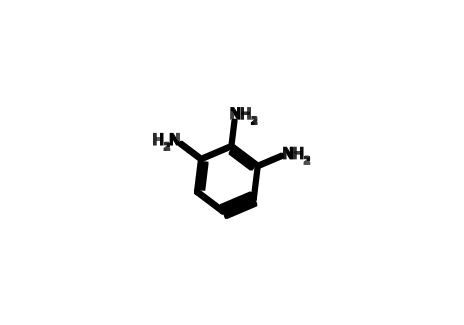 Nc1c#ccc(N)c1N